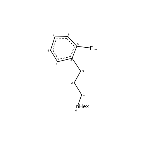 CCCCCCCCCc1ccccc1F